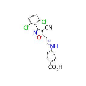 N#Cc1c(-c2c(Cl)cccc2Cl)noc1/C=C/Nc1ccc(C(=O)O)cc1